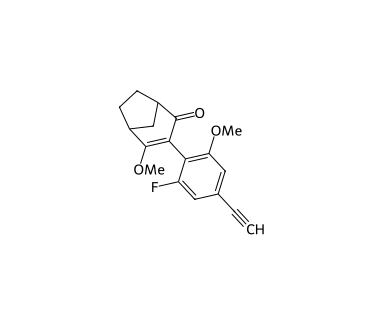 C#Cc1cc(F)c(C2=C(OC)C3CCC(C3)C2=O)c(OC)c1